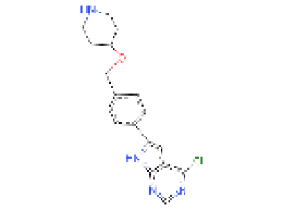 Clc1ncnc2[nH]c(-c3ccc(COC4CCNCC4)cc3)cc12